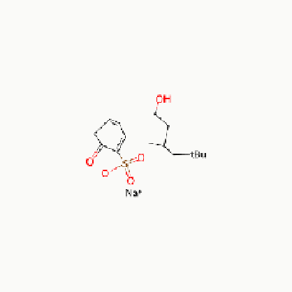 CC(CCO)CC(C)(C)C.O=C1CC=CC=C1S(=O)(=O)[O-].[Na+]